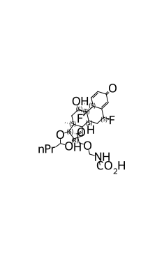 CCCC1O[C@@H]2CC3[C@@H]4C[C@H](F)C5=CC(=O)C=C[C@]5(C)[C@@]4(F)[C@@H](O)C[C@]3(C)[C@]2(C(=O)COCNC(=O)O)O1